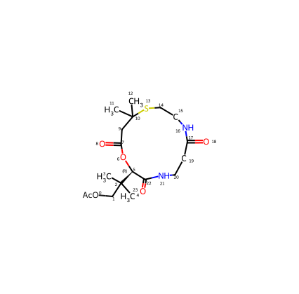 CC(=O)OCC(C)(C)[C@H]1OC(=O)CC(C)(C)SCCNC(=O)CCNC1=O